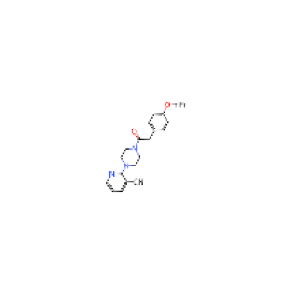 CCCOc1ccc(CC(=O)N2CCN(c3ncccc3C#N)CC2)cc1